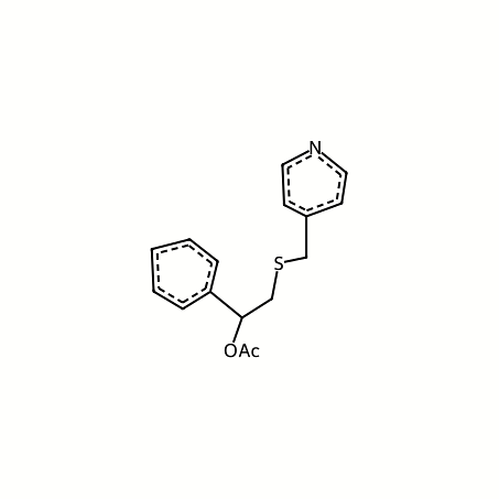 CC(=O)OC(CSCc1ccncc1)c1ccccc1